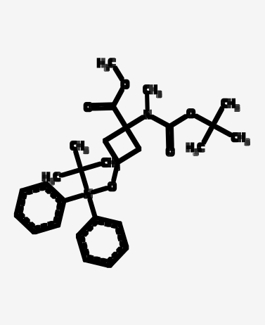 COC(=O)C1(N(C)C(=O)OC(C)(C)C)CC(O[Si](c2ccccc2)(c2ccccc2)C(C)(C)C)C1